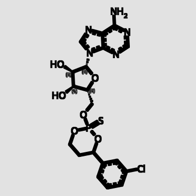 Nc1ncnc2c1ncn2[C@@H]1O[C@H](COP2(=S)OCCC(c3cccc(Cl)c3)O2)[C@@H](O)[C@H]1O